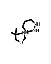 C1CNNNC1.CC1(C)COCN1